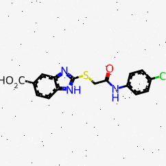 O=C(CSc1nc2cc(C(=O)O)ccc2[nH]1)Nc1ccc(Cl)cc1